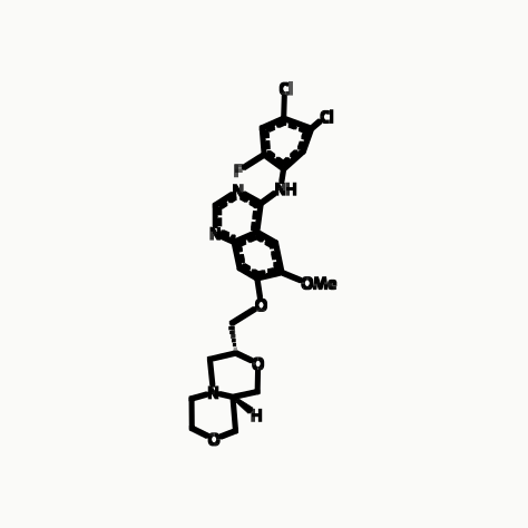 COc1cc2c(Nc3cc(Cl)c(Cl)cc3F)ncnc2cc1OC[C@H]1CN2CCOC[C@H]2CO1